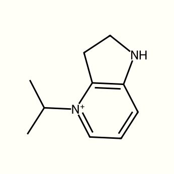 CC(C)[n+]1cccc2c1CCN2